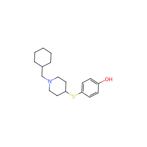 Oc1ccc(SC2CCN(CC3CCCCC3)CC2)cc1